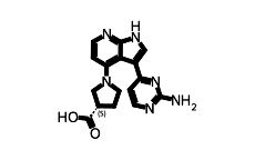 Nc1nccc(-c2c[nH]c3nccc(N4CC[C@H](C(=O)O)C4)c23)n1